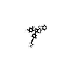 Cc1c(C(=O)NN2CCCCC2)nn(-c2ccc(Cl)cc2Cl)c1-c1ccc(C#CCCS)cc1